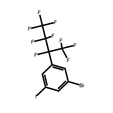 FC(F)(F)C(F)(F)C(F)(c1cc(Br)[c]c(I)c1)C(F)(F)F